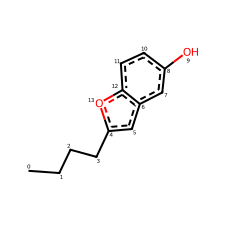 CCCCc1cc2cc(O)ccc2o1